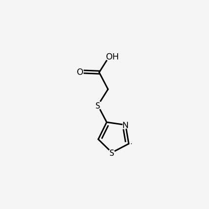 O=C(O)CSc1cs[c]n1